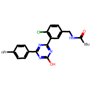 CCCc1ccc(-c2nc(O)nc(-c3cc(CNC(=O)C(C)(C)C)ccc3Cl)n2)cc1